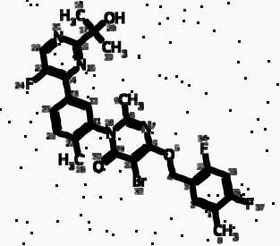 Cc1cc(COc2nc(C)n(-c3cc(-c4nc(C(C)(C)O)ncc4F)ccc3C)c(=O)c2Br)c(F)cc1F